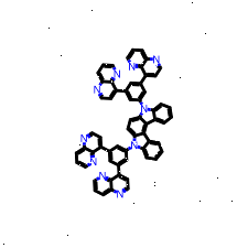 c1cnc2c(-c3cc(-c4ccnc5cccnc45)cc(-n4c5ccccc5c5c6c7ccccc7n(-c7cc(-c8ccnc9cccnc89)cc(-c8ccnc9cccnc89)c7)c6ccc54)c3)ccnc2c1